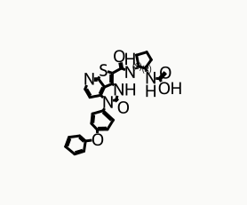 O=C(O)N[C@@H]1CCC[C@@H]1NC(=O)c1sc2nccc3c2c1NC(=O)N3c1ccc(Oc2ccccc2)cc1